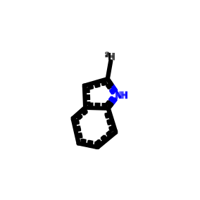 [2H]c1cc2ccccc2[nH]1